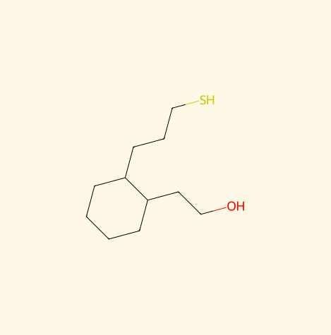 OCCC1CCCCC1CCCS